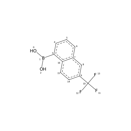 OB(O)c1cccc2cc(C(F)(F)F)ccc12